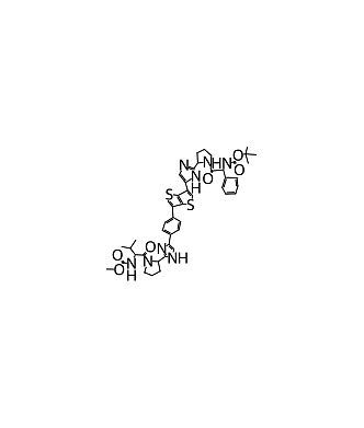 COC(=O)N[C@H](C(=O)N1CCCC1c1nc(-c2ccc(-c3csc4c(-c5cnc(C6CCCN6C(=O)C(NC(=O)OC(C)(C)C)c6ccccc6)[nH]5)csc34)cc2)c[nH]1)C(C)C